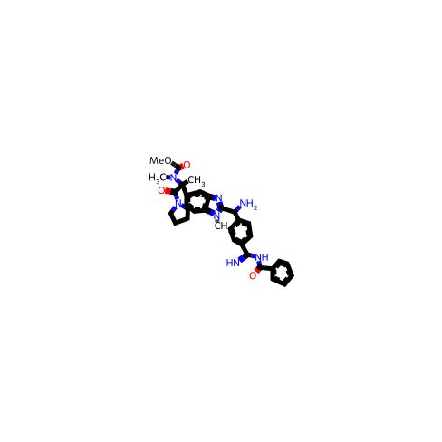 COC(=O)N(C)C(C)(C(=O)N1CCCC1)c1ccc2c(c1)nc(C(N)c1ccc(C(=N)NC(=O)c3ccccc3)cc1)n2C